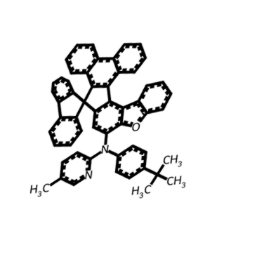 Cc1ccc(N(c2ccc(C(C)(C)C)cc2)c2cc3c(c4c2oc2ccccc24)-c2c(c4ccccc4c4ccccc24)C32c3ccccc3-c3ccccc32)nc1